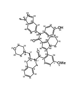 COc1ccc(C(=O)N2Cc3ccccc3C[C@H]2CN2CCOCC2)c(-c2cc(C(=O)N(c3ccc(O)cc3)c3ccc4c(cnn4C)c3)c3n2CCCC3)c1